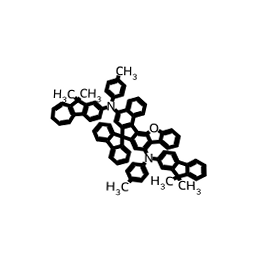 Cc1ccc(N(c2ccc3c(c2)C(C)(C)C2=C3C=CCC=C2)c2cc3c(c4ccccc24)-c2c(cc(N(c4ccc(C)cc4)c4ccc5c(c4)C(C)(C)c4ccccc4-5)c4c2oc2ccccc24)C32c3ccccc3-c3ccccc32)cc1